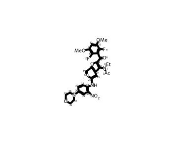 CCN(C(C)=O)c1c(C(=O)c2c(F)c(OC)cc(OC)c2F)oc2cnc(Nc3ccc(N4CCOCC4)cc3[N+](=O)[O-])cc12